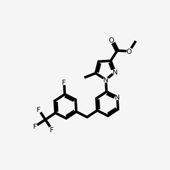 COC(=O)c1cc(C)n(-c2cc(Cc3cc(F)cc(C(F)(F)F)c3)ccn2)n1